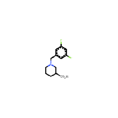 CCOC(=O)C1CCCN(Cc2cc(F)cc(F)c2)C1